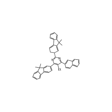 CCc1c(-c2ccc3c(c2)C(C)(C)c2ccccc2-3)nc(C2C=C3C(=CC2)c2ccccc2C3(C)C)nc1-c1ccc2ccccc2c1